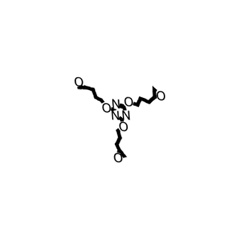 C(COc1nc(OCCCC2CO2)nc(OCCCC2CO2)n1)CC1CO1